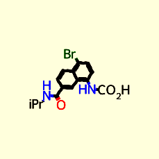 CC(C)NC(=O)c1ccc2c(Br)ccc(NC(=O)O)c2c1